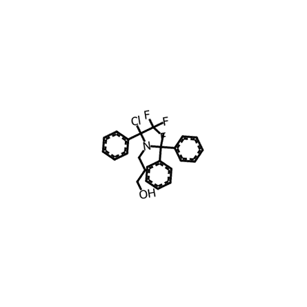 CC(c1ccccc1)(c1ccccc1)N(CCCO)C(Cl)(c1ccccc1)C(F)(F)F